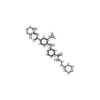 O=C(N=C1NCCCN1)c1ccc(Nc2cccc(C(=O)NCCC3CCOCC3)c2)c(C2CC2)c1